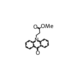 COC(=O)CCn1c2ccccc2c(=O)c2ccccc21